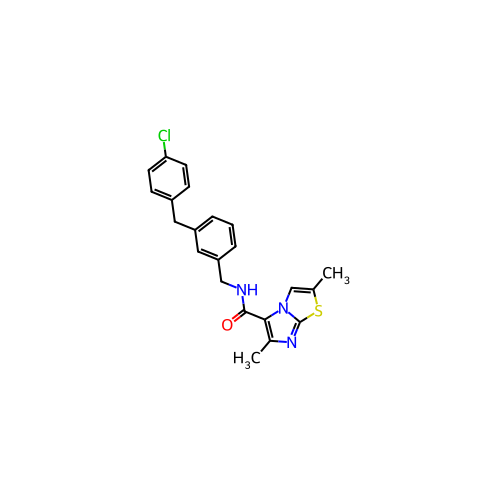 Cc1cn2c(C(=O)NCc3cccc(Cc4ccc(Cl)cc4)c3)c(C)nc2s1